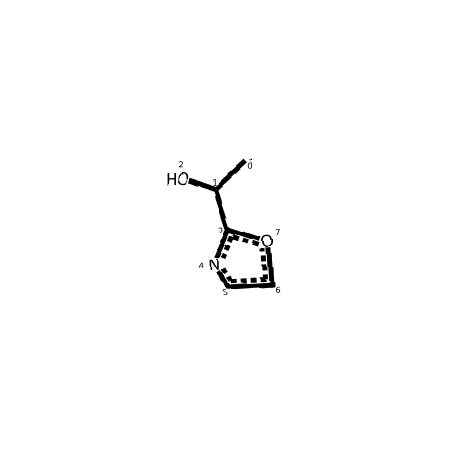 [CH2]C(O)c1ncco1